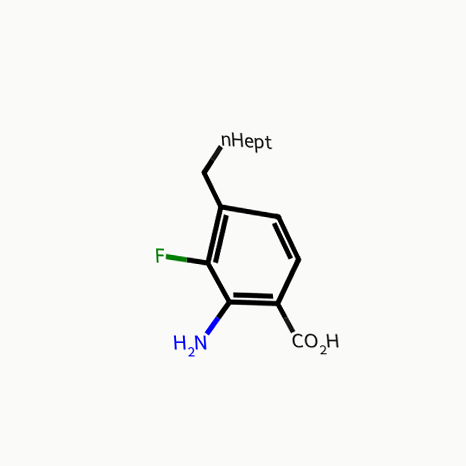 CCCCCCCCc1ccc(C(=O)O)c(N)c1F